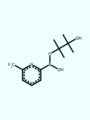 CC(C)(O)C(C)(C)OB(O)c1cccc(C(F)(F)F)n1